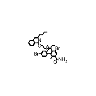 CCCCc1cc2ccccc2c(OCC[N+](C)(C)[C@@H](CC)c2c(Br)cc(C(N)=O)c(C)c2-c2ccc(Br)cc2)n1